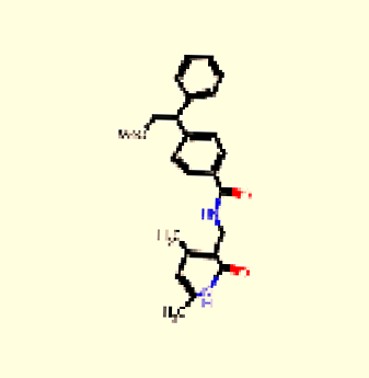 COCC(c1ccccc1)c1ccc(C(=O)NCc2c(C)cc(C)[nH]c2=O)cc1